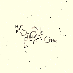 CC(=O)N1CCC(NC(=O)C2=C(C)NC(c3cc(C)c(F)cc3OCC3CC3)c3cc[nH]c32)CC1